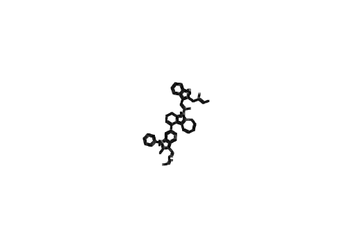 CC=C=Cc1c(C)n(-c2ccccc2)c2cc(C3=CCCc4c3c3c(n4/C(C)=C/c4c(C/C(C)=C/C)sc5ccccc45)CC=CC=C3)ccc12